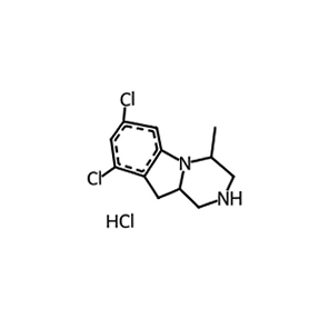 CC1CNCC2Cc3c(Cl)cc(Cl)cc3N12.Cl